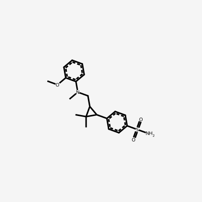 COc1ccccc1N(C)CC1C(c2ccc(S(N)(=O)=O)cc2)C1(C)C